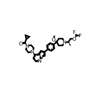 COC1(c2ccc(-c3cc4c(N5CCN(C(=O)C6CC6)CC5)ccnn4c3)cc2)CCN([C@H](C)COC(F)F)CC1